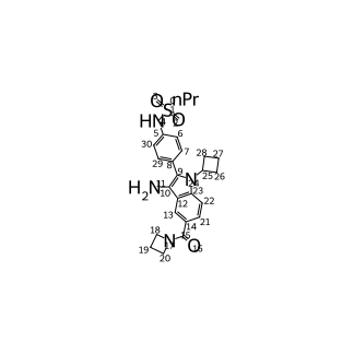 CCCS(=O)(=O)Nc1ccc(-c2c(N)c3cc(C(=O)N4CCC4)ccc3n2C2CCC2)cc1